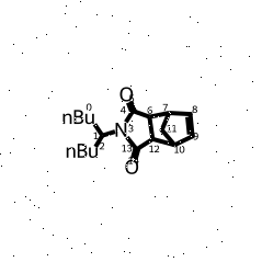 CCCCC(CCCC)N1C(=O)C2C3C=CC(C3)C2C1=O